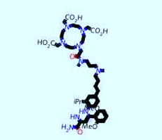 COc1cccc(OC)c1/C(=C/C(=N)C(N)=O)Nc1ccc(CCCCN(C)CCCN(C)C(=O)CN2CCN(CC(=O)O)CCN(CC(=O)O)CCN(CC(=O)O)CC2)cc1C(C)C